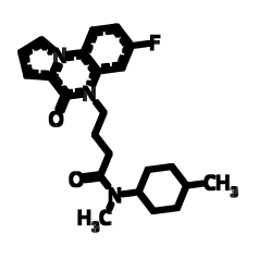 CC1CCC(N(C)C(=O)CCCn2c(=O)c3cccn3c3ccc(F)cc32)CC1